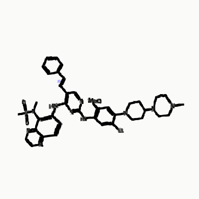 CCc1cc(Nc2ncc(/C=C/c3ccccc3)c(Nc3ccc4nccnc4c3N(C)S(C)(=O)=O)n2)c(OC)cc1N1CCC(N2CCN(C)CC2)CC1